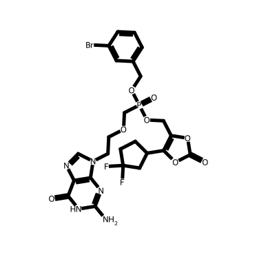 Nc1nc2c(ncn2CCOCP(=O)(OCc2cccc(Br)c2)OCc2oc(=O)oc2C2CCC(F)(F)C2)c(=O)[nH]1